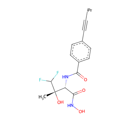 CC(C)C#Cc1ccc(C(=O)N[C@H](C(=O)NO)[C@](C)(O)C(F)F)cc1